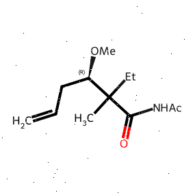 C=CC[C@@H](OC)C(C)(CC)C(=O)NC(C)=O